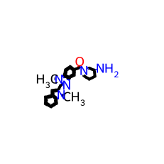 Cn1c(-c2nc3cc(C(=O)N4CCC[C@@H](N)C4)ccc3n2C)cc2ccccc21